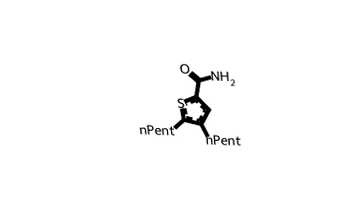 CCCCCc1cc(C(N)=O)sc1CCCCC